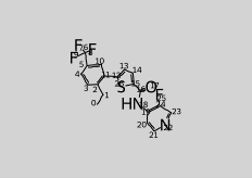 CCc1ccc(C(F)(F)F)cc1-c1ccc(C(=O)Nc2ccncc2F)s1